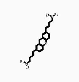 CCN(CC)CC/C=C/c1ccc2c(c1)Cc1cc(/C=C/CCN(CC)CC)ccc1S2